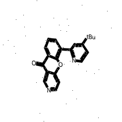 CC(C)(C)c1ccnc(-c2cccc3c(=O)c4cnccc4oc23)c1